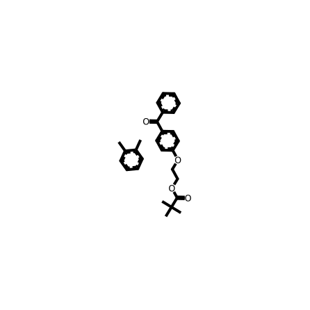 CC(C)(C)C(=O)OCCOc1ccc(C(=O)c2ccccc2)cc1.Cc1ccccc1C